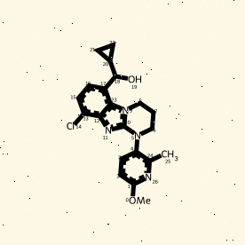 COc1ccc(N2CCCn3c2nc2c(Cl)ccc(C(O)C4CC4)c23)c(C)n1